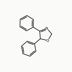 c1ccc(C2=NCOC2c2ccccc2)cc1